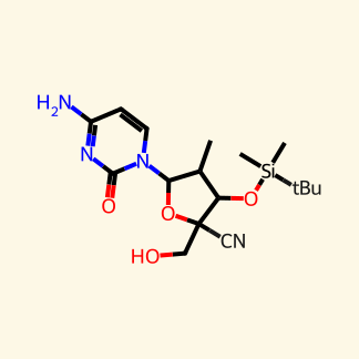 CC1C(n2ccc(N)nc2=O)OC(C#N)(CO)C1O[Si](C)(C)C(C)(C)C